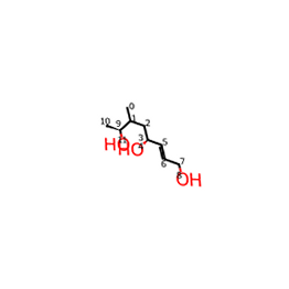 CC(C[C@H](O)/C=C/CO)[C@H](C)O